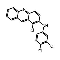 Clc1ccc(Nc2ccc3nc4ccccc4cc3c2Cl)cc1Cl